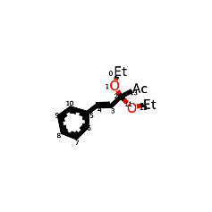 CCOC(C=Cc1ccccc1)(OCC)C(C)=O